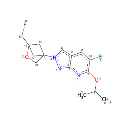 CC(C)Oc1nc2nn(C34COC(CF)(C3)C4)cc2cc1Br